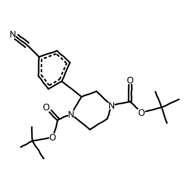 CC(C)(C)OC(=O)N1CCN(C(=O)OC(C)(C)C)C(c2ccc(C#N)cc2)C1